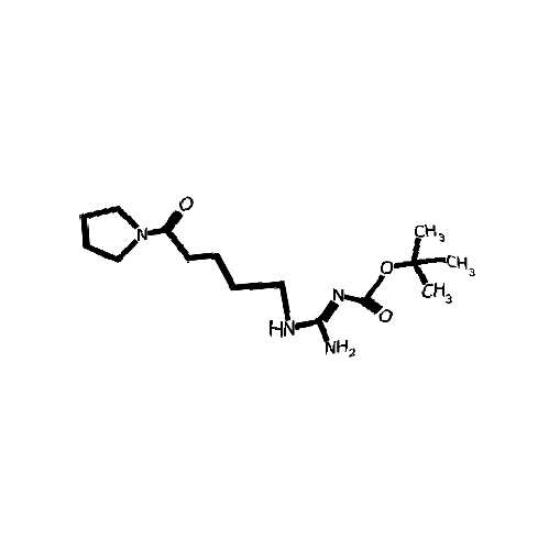 CC(C)(C)OC(=O)N=C(N)NCCC[CH]C(=O)N1CCCC1